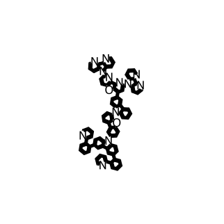 c1ccc(-c2ccccc2-c2ccc3c(c2)c2cc(-c4ccccc4-c4ccccn4)ccc2n3-c2ccc3oc4c(-n5c6ccccc6c6cc(-c7cc(-n8c9cccnc9c9ncccc98)nc8c7oc7ccc(-n9c%10cccnc%10c%10ncccc%109)nc78)ccc65)cccc4c3c2)nc1